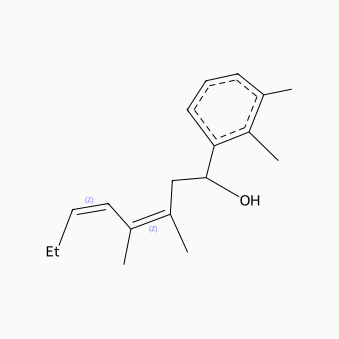 CC/C=C\C(C)=C(\C)CC(O)c1cccc(C)c1C